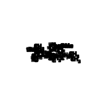 COc1cc(N(C)CCN(C)C)c(NC(C)=O)cc1Nc1nccc(-c2cn(Cc3ccc(O[Si](C)(C)C(C)(C)C)c(C4OCCO4)c3)c3ccccc23)n1